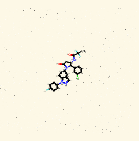 CC(F)(F)C(=O)N[C@H]1CC(=O)N(c2ccc3c(cnn3-c3ccc(F)cc3)c2)C1c1cccc(Cl)c1